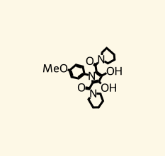 COc1ccc(-n2c(C(=O)N3CCCCC3)c(O)c(O)c2C(=O)N2CCCCC2)cc1